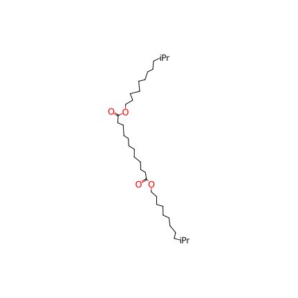 CC(C)CCCCCCCCCOC(=O)CCCCCCCCCCC(=O)OCCCCCCCCCC(C)C